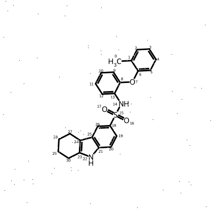 Cc1ccccc1Oc1ccccc1NS(=O)(=O)c1ccc2[nH]c3c(c2c1)CCCC3